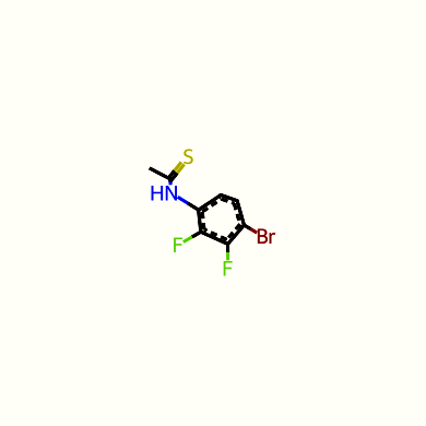 CC(=S)Nc1ccc(Br)c(F)c1F